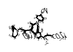 CCOC(=O)C[C@H](C)c1cnc2c(C(O)CN3CCCCC3)c(C)n(-c3ccc(C#N)cc3)c2c1